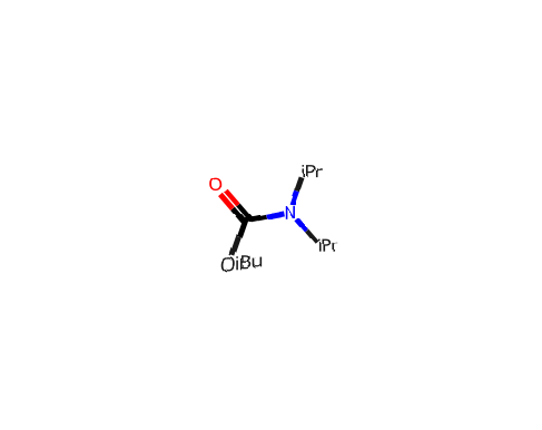 CC(C)COC(=O)N(C(C)C)C(C)C